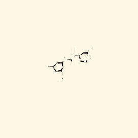 COc1cc(Cl)cc(NC(=O)Nc2ccnc(Br)c2)c1